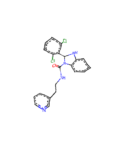 O=C(NCCc1cccnc1)N1c2ccccc2NC1c1c(Cl)cccc1Cl